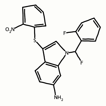 Nc1ccc2c(Sc3ccccc3[N+](=O)[O-])cn(C(F)c3ccccc3F)c2c1